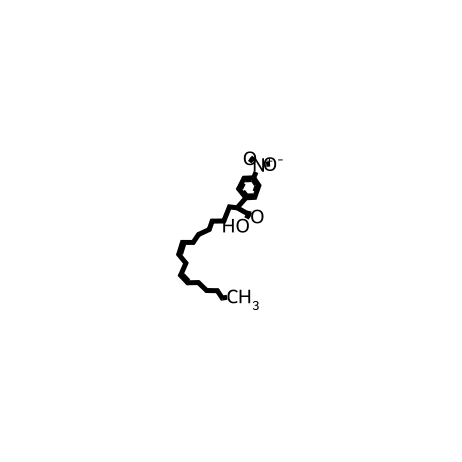 CCCCC/C=C\C/C=C\CCCCCCC(C(=O)O)c1ccc([N+](=O)[O-])cc1